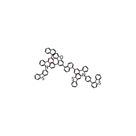 c1cc(-c2ccccc2N(c2ccc(-c3cc(-c4cccc5c(-c6cccc(-c7ccccc7N(c7ccc(-c8cccc9sc%10ccccc%10c89)cc7)c7ccc8sc9ccccc9c8c7)c6)cccc45)cc4oc5ccccc5c34)cc2)c2ccc3sc4ccccc4c3c2)cc(-c2cccc3ccccc23)c1